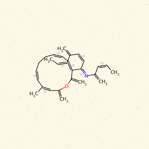 C=C(/C=C\C)\C=C/C(=N\C(=C)/C=C\C)C1=C/C=C\CC/C=C\C(C)=C/C(=C)OC\1=C